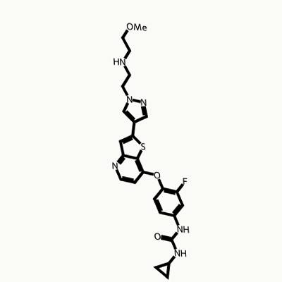 COCCNCCn1cc(-c2cc3nccc(Oc4ccc(NC(=O)NC5CC5)cc4F)c3s2)cn1